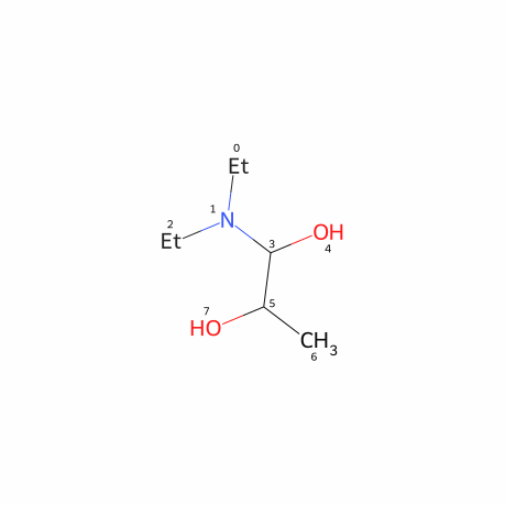 CCN(CC)C(O)C(C)O